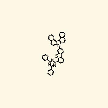 c1ccc(-c2nc(-c3ccccc3)nc(-c3cccc4c3sc3cc(-n5c6ccc7ccccc7c6c6c7ccccc7ccc65)ccc34)n2)cc1